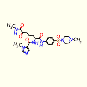 CNC(=O)C(=O)CCC[C@H](NC(=O)c1cncn1C)C(=O)Nc1ccc(S(=O)(=O)N2CCN(C)CC2)cc1